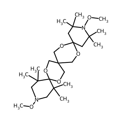 CON1CC(C)(C)C2(OCC3(COC4(CC(C)(C)N(OC)C(C)(C)C4)OC3)CO2)C(C)(C)C1